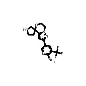 Nc1ncc(-c2cc3n(n2)CCOC32CCNC2)cc1C(F)(F)F